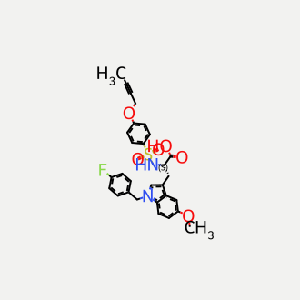 CC#CCOc1ccc(S(=O)(=O)N[C@@H](Cc2cn(Cc3ccc(F)cc3)c3ccc(OC)cc23)C(=O)O)cc1